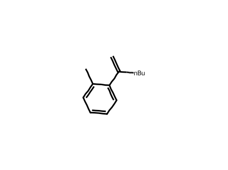 C=C(CCCC)c1ccccc1C